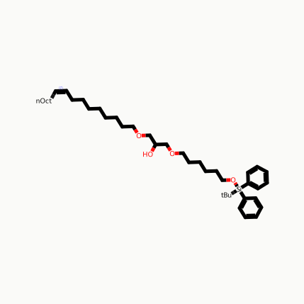 CCCCCCCC/C=C\CCCCCCCCOCC(O)COCCCCCCO[Si](c1ccccc1)(c1ccccc1)C(C)(C)C